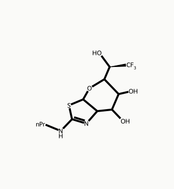 CCCNC1=NC2C(OC([C@@H](O)C(F)(F)F)C(O)C2O)S1